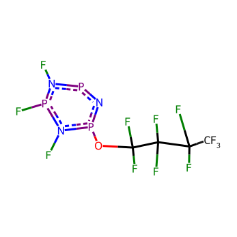 Fn1pnp(OC(F)(F)C(F)(F)C(F)(F)C(F)(F)F)n(F)p1F